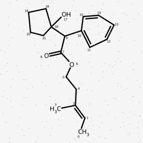 C/C=C(\C)CCOC(=O)C(c1ccccc1)C1(O)CCCC1